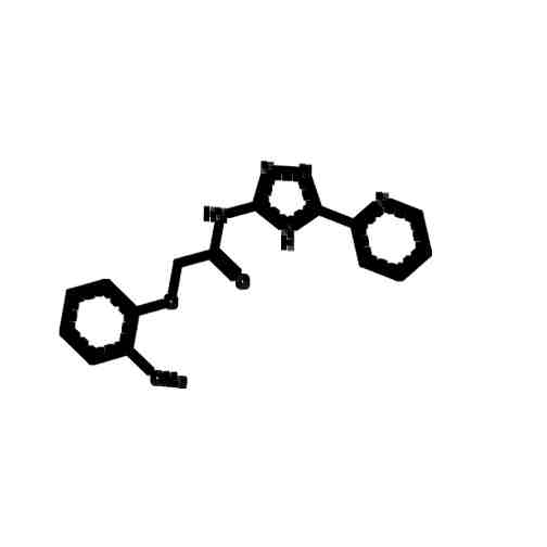 COc1ccccc1OCC(=O)Nc1nnc(-c2ccccn2)[nH]1